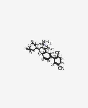 CN/C(N)=N\C1(C(C)=O)CC(C2CCOC(C)(C)C2)Oc2ccc(-c3cc(C#N)ccc3C(F)(F)F)cc21